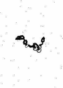 O=C1OC(CCOc2ccc(-c3ccccc3)cc2)CC=C1SCCc1ccccc1